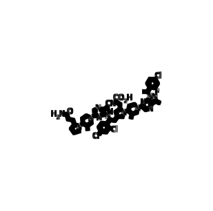 Cc1nn(C(C)c2ccc(Cl)cc2F)c2nc(N3CCC(N4CC(CC(c5ccc(Cl)cc5Cl)n5nc(C#N)c6ncc(N7CCC(N8CCCC8CCC(N)=O)C(C)C7)nc65)CC4CCC(=O)O)C(C)C3)cnc12